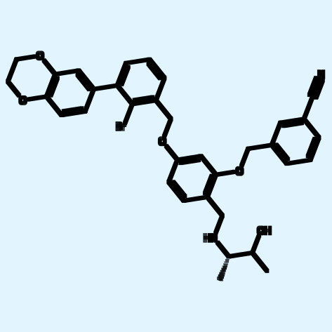 CC(O)[C@H](C)NCc1ccc(OCc2cccc(-c3ccc4c(c3)OCCO4)c2Br)cc1OCc1cccc(C#N)c1